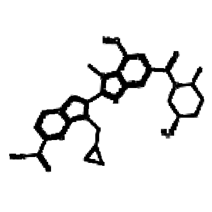 CNC(=O)c1ccc2cc(-c3nc4cc(C(=O)N5C[C@H](N)CC[C@@H]5C)cc(OC)c4n3C)n(CC3CC3)c2n1